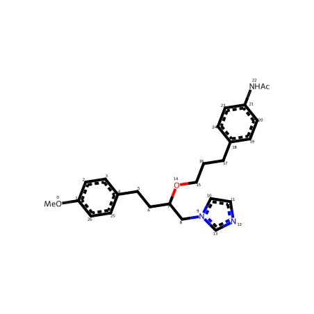 COc1ccc(CCC(Cn2ccnc2)OCCCc2ccc(NC(C)=O)cc2)cc1